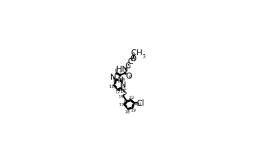 COCCNC(=O)c1cnc2ccc(SCc3cccc(Cl)c3)nn12